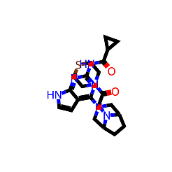 O=C(Nc1nc(N2CC3CCC(C2)N3CC(=O)N2CCSCC2)c2cc[nH]c2n1)C1CC1